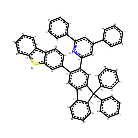 c1ccc(-c2cc(-c3ccccc3)nc(-c3cc4c(cc3-c3ccc5c(c3)sc3ccccc35)-c3ccccc3C4(c3ccccc3)c3ccccc3)c2)cc1